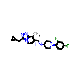 Fc1ccc(N2CCC(NCc3ccn4c(CC5CC5)nnc4c3C(F)(F)F)CC2)c(F)c1